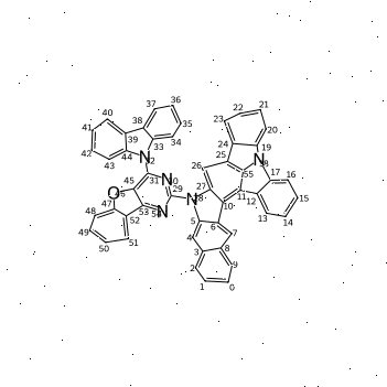 c1ccc2cc3c(cc2c1)c1c2c4ccccc4n4c5ccccc5c(cc1n3-c1nc(-n3c5ccccc5c5ccccc53)c3oc5ccccc5c3n1)c24